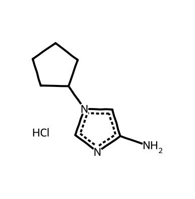 Cl.Nc1cn(C2CCCC2)cn1